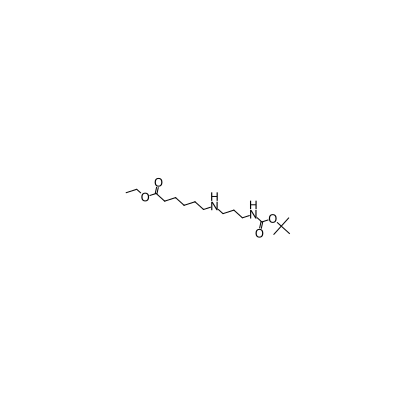 CCOC(=O)CCCCCNCCCNC(=O)OC(C)(C)C